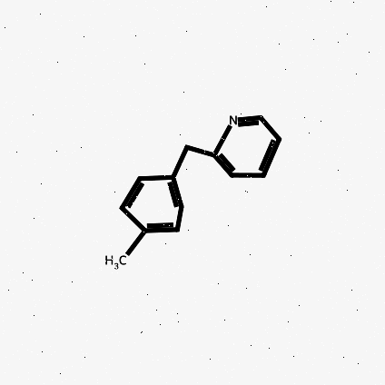 Cc1ccc(Cc2ccccn2)cc1